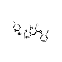 Cc1ccc(Nc2ncc3cc(Oc4ccccc4F)c(=O)n(C)c3n2)nc1